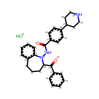 Cl.O=C(NN1c2ccccc2CCCC1C(=O)c1ccccc1)c1ccc(C2CCNCC2)cc1